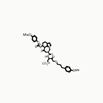 COc1ccc(CCCOCC(=O)C(CC(=O)O)NC(=O)C2CC(=O)C3c4c(ccn4C2)CCC3NC(=O)Oc2ccc(OC)cc2)cc1